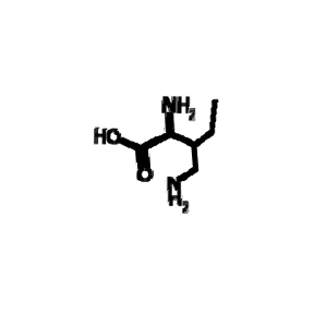 CCC(CN)C(N)C(=O)O